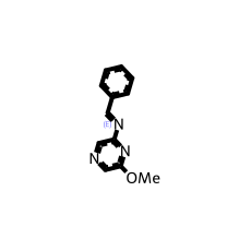 COc1cncc(/N=C/c2ccccc2)n1